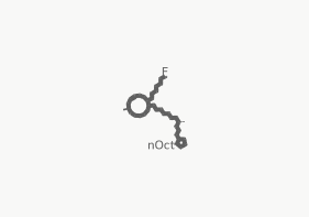 CCCCCCCC[C@H]1CCCC1CCC[C@@H](C)CCCCCCCC1CCCCC[C@@H](C)C/C=C\CCC1CCCCCCCF